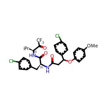 COc1ccc(OC(CC(=O)N[C@@H](Cc2ccc(Cl)cc2)C(=O)N[C@H](C(=O)C(F)(F)F)C(C)C)c2ccc(Cl)cc2)cc1